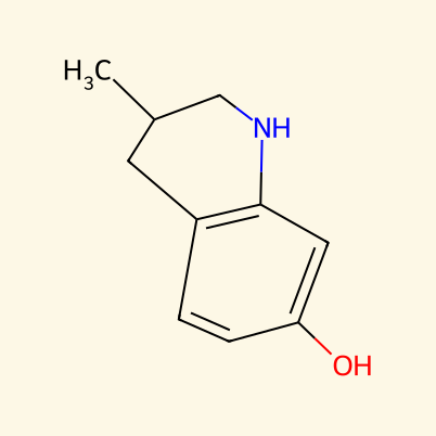 CC1CNc2cc(O)ccc2C1